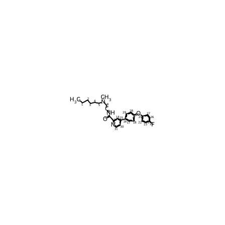 CCCCCCN(C)CCNC(=O)c1cc(-c2ccc(Oc3ccc(F)cc3)cc2)ccn1